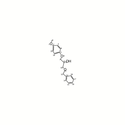 COc1ccc(OCC(O)COCc2ccccc2)cc1